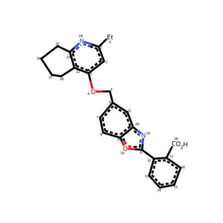 CCc1cc(OCc2ccc3oc(-c4ccccc4C(=O)O)nc3c2)c2c(n1)CCCC2